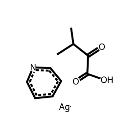 CC(C)C(=O)C(=O)O.[Ag].c1ccncc1